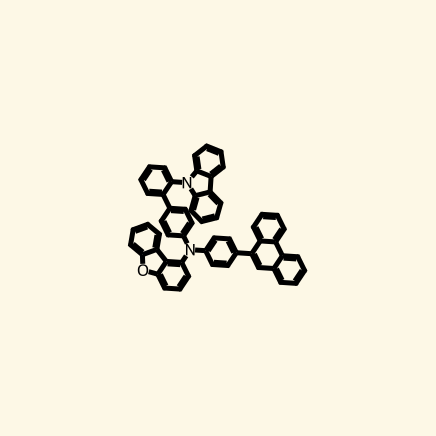 c1ccc(-n2c3ccccc3c3ccccc32)c(-c2ccc(N(c3ccc(-c4cc5ccccc5c5ccccc45)cc3)c3cccc4oc5ccccc5c34)cc2)c1